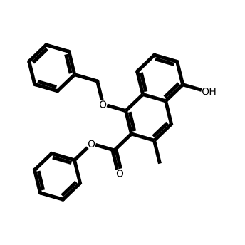 Cc1cc2c(O)cccc2c(OCc2ccccc2)c1C(=O)Oc1ccccc1